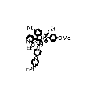 CCCN1CCN(C2CCN(C(=O)NC3(c4cccnc4OCC)C(=O)N(S(=O)(=O)c4ccc(OC)cc4OCC)c4ccc(C#N)cc43)CC2)CC1